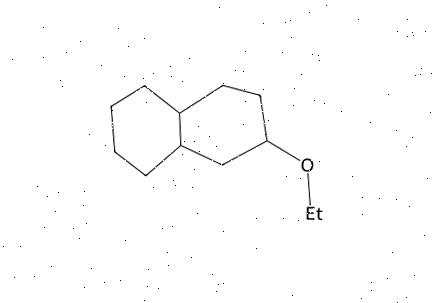 CCOC1CCC2CCCCC2C1